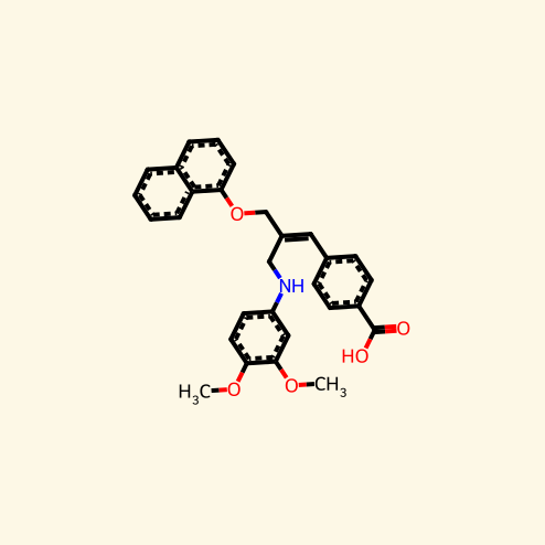 COc1ccc(NCC(=Cc2ccc(C(=O)O)cc2)COc2cccc3ccccc23)cc1OC